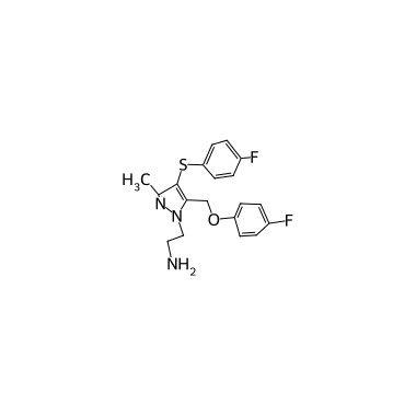 Cc1nn(CCN)c(COc2ccc(F)cc2)c1Sc1ccc(F)cc1